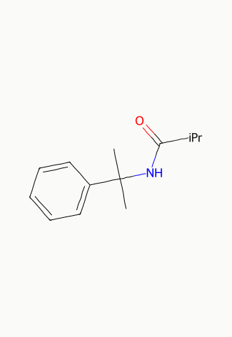 CC(C)C(=O)NC(C)(C)c1ccccc1